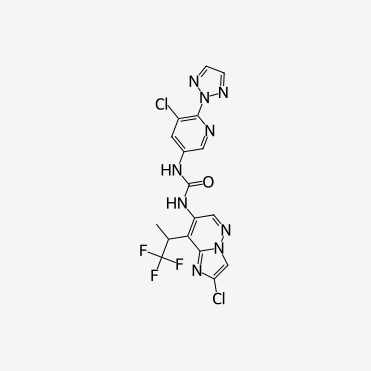 CC(c1c(NC(=O)Nc2cnc(-n3nccn3)c(Cl)c2)cnn2cc(Cl)nc12)C(F)(F)F